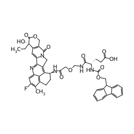 CC[C@@]1(O)C(=O)OCc2c1cc1n(c2=O)Cc2c-1nc1cc(F)c(C)c3c1c2[C@@H](NC(=O)COCNC(=O)[C@H](CCC(=O)O)NC(=O)OCC1c2ccccc2-c2ccccc21)CC3